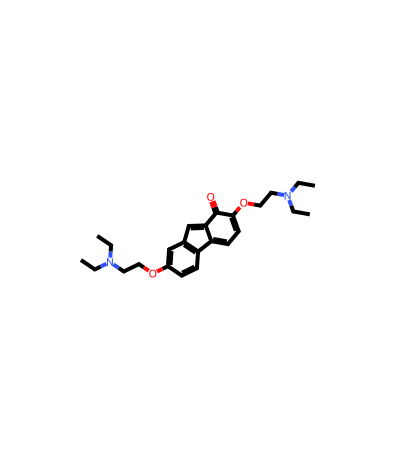 CCN(CC)CCOC1=CC=C2C(=Cc3cc(OCCN(CC)CC)ccc32)C1=O